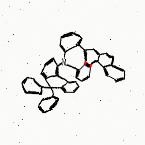 c1ccc(N(c2ccccc2-c2ccc3c(ccc4ccccc43)c2)c2cccc3c2-c2ccccc2C3(c2ccccc2)c2ccccc2)cc1